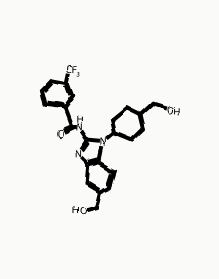 O=C(Nc1nc2cc(CO)ccc2n1C1CCC(CO)CC1)c1cccc(C(F)(F)F)c1